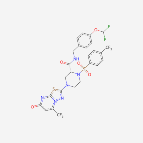 O=C(NCc1ccc(OC(F)F)cc1)[C@H]1CN(c2nn3c(C(F)(F)F)cc(=O)nc3s2)CCN1S(=O)(=O)c1ccc(C(F)(F)F)cc1